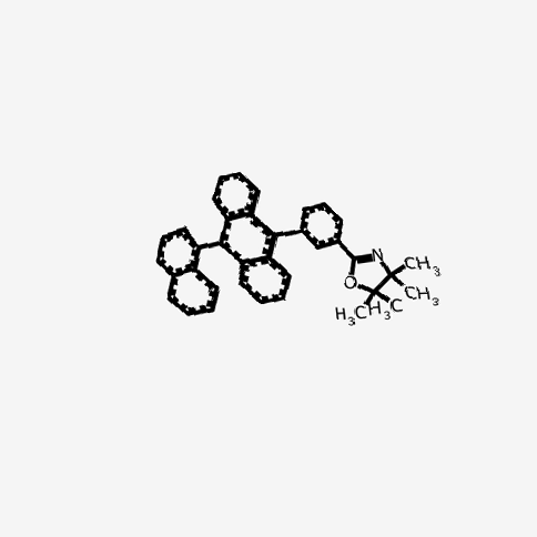 CC1(C)N=C(c2cccc(-c3c4ccccc4c(-c4cccc5ccccc45)c4ccccc34)c2)OC1(C)C